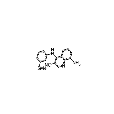 CSc1cccc(Nc2c(C#N)cnc3c(N)cccc23)c1